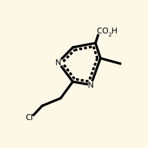 Cc1nc(CCCl)ncc1C(=O)O